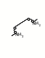 CCCCc1cc(Cc2ccc(CCCCCCCCCCCCCc3ccc(Cc4ccc(N)c(CCCC)c4)cc3)cc2)ccc1N